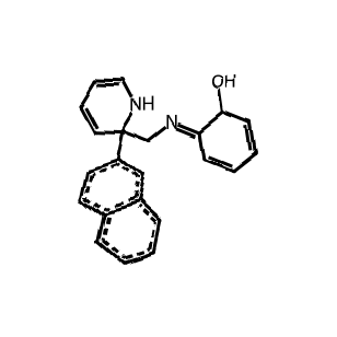 OC1C=CC=C/C1=N\CC1(c2ccc3ccccc3c2)C=CC=CN1